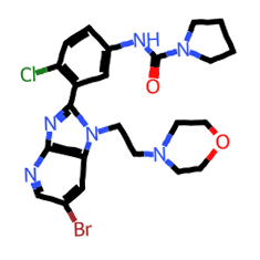 O=C(Nc1ccc(Cl)c(-c2nc3ncc(Br)cc3n2CCN2CCOCC2)c1)N1CCCC1